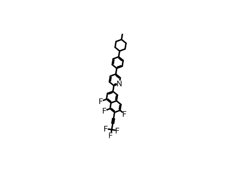 CC1CCC(c2ccc(-c3ccc(-c4cc(F)c5c(F)c(C#CC(F)(F)F)c(F)cc5c4)nc3)cc2)CC1